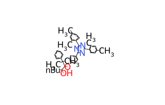 CCCCC(O)C(Oc1ccc(-c2nc(-c3ccc(C)cc3C)nc(-c3ccc(C)cc3C)n2)cc1)C(C)(C)c1ccccc1